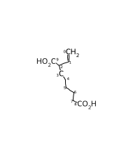 C=CC(CCCCCC(=O)O)C(=O)O